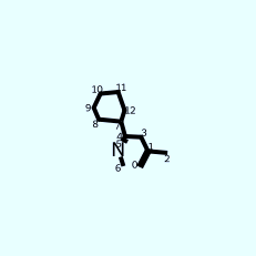 C=C(C)C/C(=N\C)C1CCCCC1